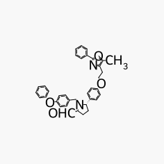 Cc1oc(-c2ccccc2)nc1CCOc1ccc([C@@H]2CC[C@@H](C=O)N2Cc2ccc(Oc3ccccc3)cc2)cc1